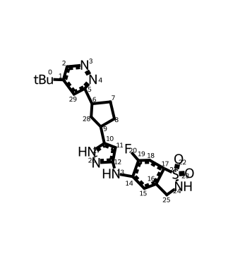 CC(C)(C)c1cnnc(C2CCC(c3cc(Nc4cc5c(cc4F)S(=O)(=O)NC5)n[nH]3)C2)c1